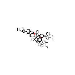 COc1ccc(CCC(=O)N(c2ccc(C(C)C)cc2)C(C(N)=O)(c2ccc(O)c(OC)c2)C2CCCCC2)cc1